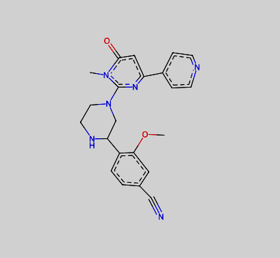 COc1cc(C#N)ccc1C1CN(c2nc(-c3ccncc3)cc(=O)n2C)CCN1